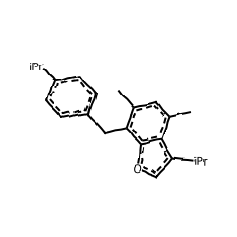 Cc1cc(C)c2c(C(C)C)coc2c1Cc1ccc(C(C)C)cc1